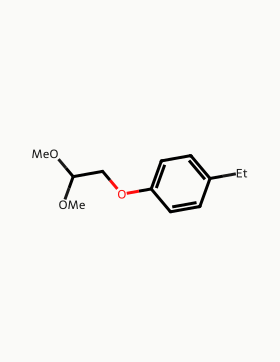 CCc1ccc(OCC(OC)OC)cc1